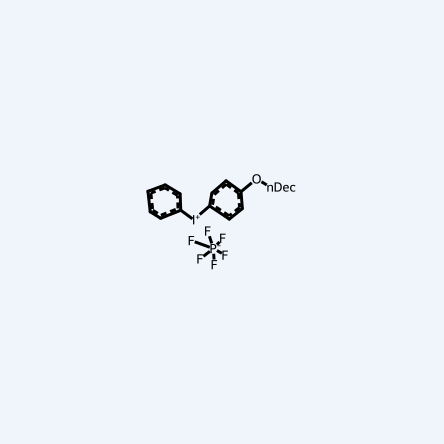 CCCCCCCCCCOc1ccc([I+]c2ccccc2)cc1.F[P-](F)(F)(F)(F)F